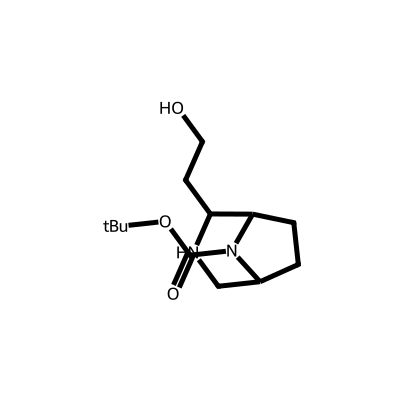 CC(C)(C)OC(=O)N1C2CCC1C(CCO)NC2